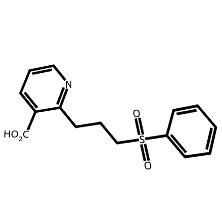 O=C(O)c1cccnc1CCCS(=O)(=O)c1ccccc1